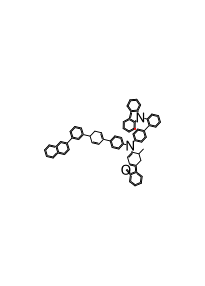 CC1Cc2c(oc3ccccc23)C=C1N(c1ccc(C2=CCC(c3cccc(-c4ccc5ccccc5c4)c3)C=C2)cc1)c1ccc(-c2ccccc2-n2c3ccccc3c3ccccc32)cc1